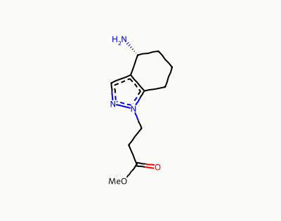 COC(=O)CCn1ncc2c1CCC[C@H]2N